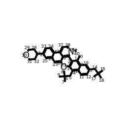 Cc1c2c(c(CC(C)(C)C)c3ccc(CC(C)(C)C)cc13)Oc1cc3cc(C4CCOCC4)ccc3c3cc[n+](C)c-2c13